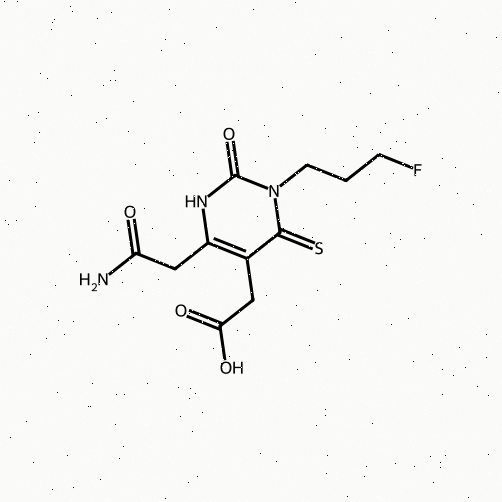 NC(=O)Cc1[nH]c(=O)n(CCCF)c(=S)c1CC(=O)O